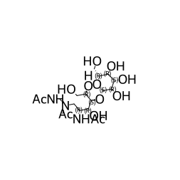 CC(=O)N[C@H](CN(NC(C)=O)C(C)=O)[C@@H](O)[C@H](O[C@@H]1O[C@H](CO)[C@H](O)[C@H](O)[C@H]1O)[C@H](O)CO